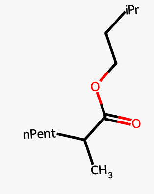 CCCCCC(C)C(=O)OCCC(C)C